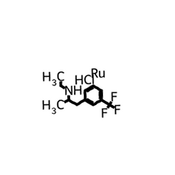 CCNC(C)Cc1cccc(C(F)(F)F)c1.Cl.[Ru]